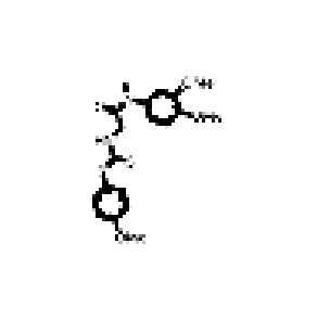 COc1ccc(N=C(S)NCC(=O)N(C)c2ccc(OC)c(OC)c2)cc1